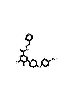 COc1ccc(OC2CCN(c3nc(C(=O)NCCc4ccncc4)nc(Cl)c3C)CC2)cn1